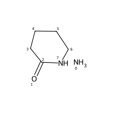 N.O=C1CCCCN1